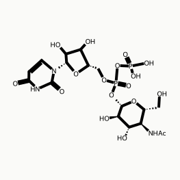 CC(=O)N[C@H]1[C@H](O)[C@@H](O)[C@H](OP(=O)(OC[C@@H]2O[C@H](n3ccc(=O)[nH]c3=O)C(O)C2O)OP(=O)(O)O)O[C@@H]1CO